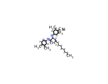 CCCCCCCC/C=C/C(=N\c1ccc(C)c(C)c1)C(/C)=N/c1ccc(C)c(C)c1.[Ni]